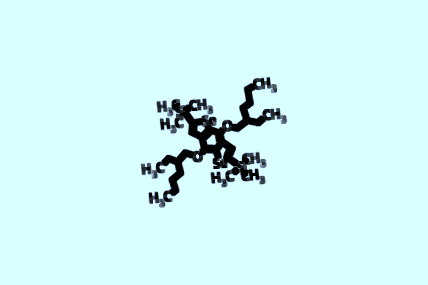 CCCCC(CC)COc1c2cc([Si](C)(C)C)[se]c2c(OCC(CC)CCCC)c2cc([Si](C)(C)C)[se]c12